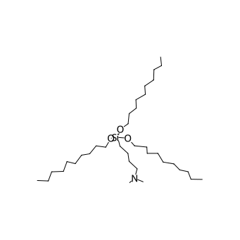 CCCCCCCCCCO[Si](CCCCN(C)C)(OCCCCCCCCCC)OCCCCCCCCCC